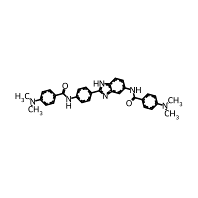 CN(C)c1ccc(C(=O)Nc2ccc(-c3nc4cc(NC(=O)c5ccc(N(C)C)cc5)ccc4[nH]3)cc2)cc1